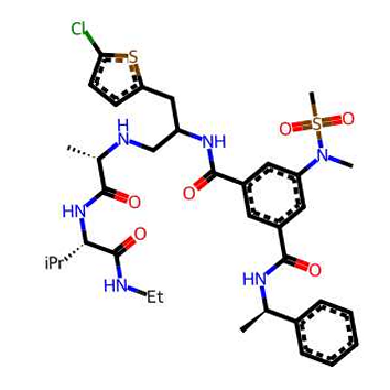 CCNC(=O)[C@@H](NC(=O)[C@H](C)NCC(Cc1ccc(Cl)s1)NC(=O)c1cc(C(=O)N[C@H](C)c2ccccc2)cc(N(C)S(C)(=O)=O)c1)C(C)C